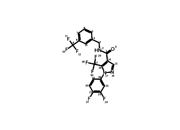 O=C(NCc1cccc(C(F)(F)F)c1)c1cnn(-c2ccc(F)c(F)c2)c1C(F)(F)F